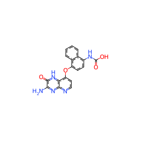 Nc1nc2nccc(Oc3ccc(NC(=O)O)c4ccccc34)c2[nH]c1=O